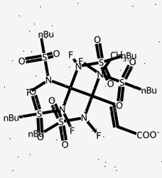 CCCCS(=O)(=O)N(F)C(N(F)S(=O)(=O)CCCC)(N(F)S(=O)(=O)CCCC)C(C=CC(=O)[O-])(N(F)S(=O)(=O)CCCC)[N+](C)(F)S(=O)(=O)CCCC